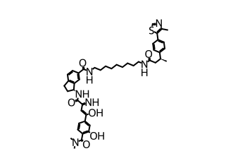 Cc1ncsc1-c1ccc([C@@H](C)CC(=O)NCCCCCCCCCNC(=O)c2ccc3c(c2)[C@H](NC(=O)C(=N)/C=C(\O)c2ccc(C(=O)N(C)C)c(O)c2)CC3)cc1